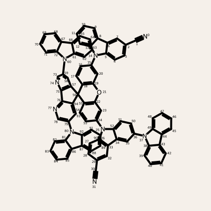 N#Cc1ccc2c(c1)c1ccccc1n2-c1ccc2c(c1)Oc1cc(-n3c4ccc(C#N)cc4c4cc(-n5c6ccccc6c6ccccc65)ccc43)ccc1C21c2cc(-n3c4ccccc4c4ccccc43)cnc2-c2ncc(-n3c4ccccc4c4ccccc43)cc21